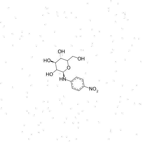 O=[N+]([O-])c1ccc(N[C@@H]2OC(CO)[C@@H](O)[C@H](O)C2O)cc1